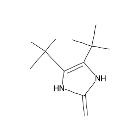 C=C1NC(C(C)(C)C)=C(C(C)(C)C)N1